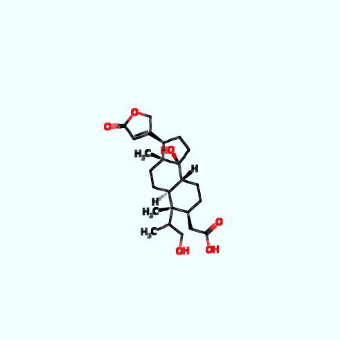 CC(CO)[C@@]1(C)[C@H](CC(=O)O)CC[C@@H]2[C@@H]1CC[C@]1(C)[C@@H](C3=CC(=O)OC3)CC[C@]21O